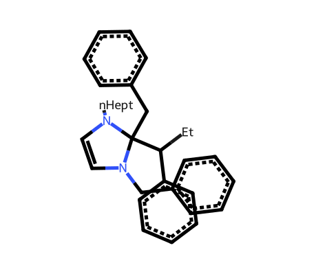 CCCCCCCN1C=CN(Cc2ccccc2)C1(Cc1ccccc1)C(CC)c1ccccc1